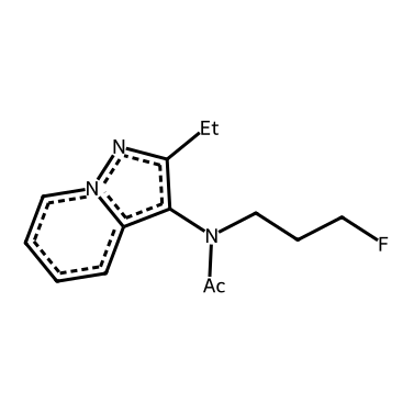 CCc1nn2ccccc2c1N(CCCF)C(C)=O